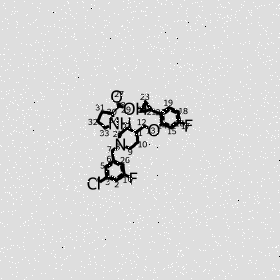 Fc1cc(Cl)cc(CN2CCC(COc3cc(F)ccc3C3CC3)CC2)c1.O=C(O)[C@@H]1CCCN1